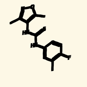 Cc1cc(NC(=S)Nc2c(C)noc2C)ccc1F